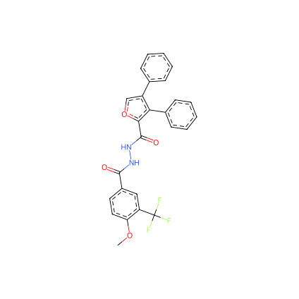 COc1ccc(C(=O)NNC(=O)c2occ(-c3ccccc3)c2-c2ccccc2)cc1C(F)(F)F